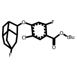 CC(C)(C)OC(=O)c1cc(Cl)c(OC2C3CC4CC2CC(F)(C4)C3)cc1F